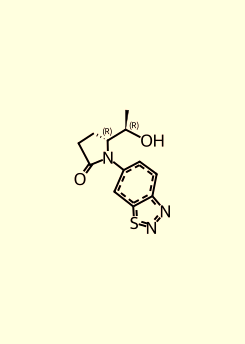 C[C@@H](O)[C@H]1CCC(=O)N1c1ccc2nnsc2c1